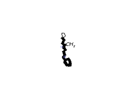 C/C(=C\CC/C=C/c1ccccc1)CCC=O